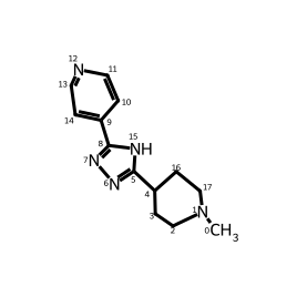 CN1CCC(c2nnc(-c3ccncc3)[nH]2)CC1